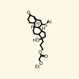 CCOCC(=O)OCCCC1(O)CC[C@H]2[C@@H]3C(SC(C)=O)CC4=CC(=O)CC[C@]4(C)[C@@H]3CC[C@@]21C